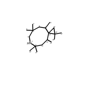 CC1CC(C)(C)CNC(C)(C)CC(C)C12CC2(C)C